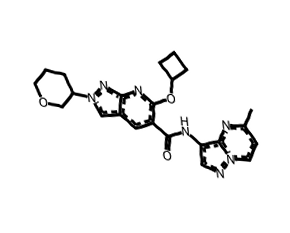 Cc1ccn2ncc(NC(=O)c3cc4cn(C5CCCOC5)nc4nc3OC3CCC3)c2n1